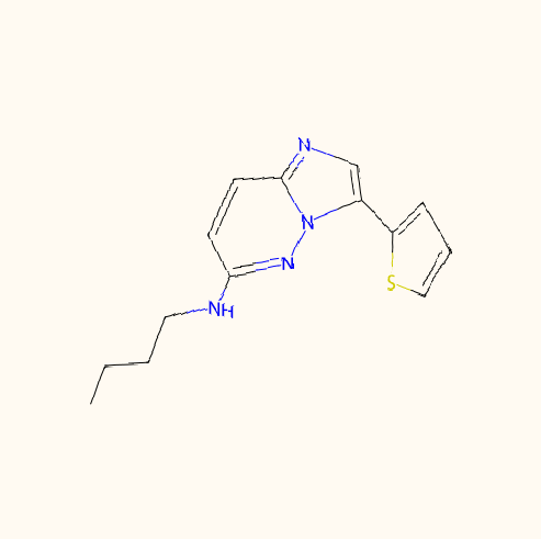 CCCCNc1ccc2ncc(-c3cccs3)n2n1